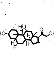 C[C@]12CC[C@@H](O)C[C@H]1[C@@H](F)C[C@@H]1[C@@H]2[C@H](O)C[C@]2(C)[C@@H](C(=O)CO)CC[C@@H]12